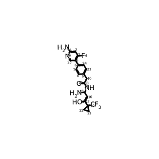 Nc1cc(F)c(-c2ccc(CC(=O)NC(N)/C=C(\O)C3(C(F)(F)F)CC3)cc2)cn1